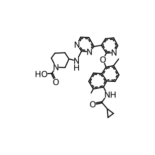 Cc1ccc2c(Oc3ncccc3-c3ccnc(NC4CCCN(C(=O)O)C4)n3)c(C)ccc2c1NC(=O)C1CC1